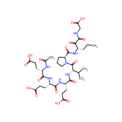 CCC[C@H](NC(=O)[C@@H]1CCCN1C(=O)[C@@H](NC(=O)[C@H](CCC(=O)O)NC(=O)[C@H](CCC(=O)O)NC(=O)[C@H](CCC(=O)O)NC(C)=O)C(C)C)C(=O)C(=O)NCC(=O)O